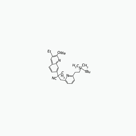 CCc1cc2ccc(C(C)(C#N)Cc3cccc(CC[Si](C)(C)C(C)(C)C)n3)cc2nc1OC